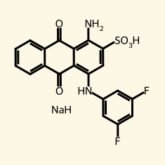 Nc1c(S(=O)(=O)O)cc(Nc2cc(F)cc(F)c2)c2c1C(=O)c1ccccc1C2=O.[NaH]